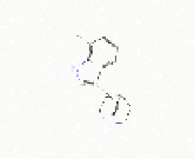 Clc1cccc2c(C3=CN4CCC3CC4)c[nH]c12